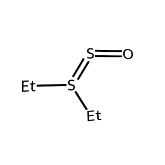 CCS(CC)=S=O